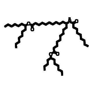 CCCCCCCCC(=O)N(C)C(CCCCCCCCCC(=O)OC(CCCCCC)CCCCCCC)CCCCCCCCC(=O)OC(CCCC)CCCCCC